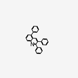 c1ccc(-c2cc3c(-c4ccccc4)cccc3nc2-c2ccccc2)cc1